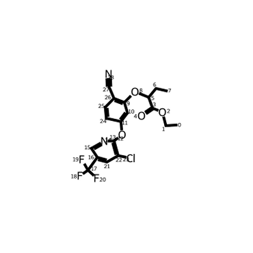 CCOC(=O)C(CC)Oc1cc(Oc2ncc(C(F)(F)F)cc2Cl)ccc1C#N